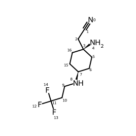 N#CC[C@]1(N)CC[C@@H](NCCC(F)(F)F)CC1